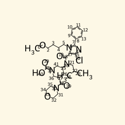 COCCCCn1c(-c2ccccc2)nc(Cl)c1C(=O)N(CC(C)C)[C@H]1C[C@@H](C(=O)N2CCOCC2)CN(C(=O)O)C1